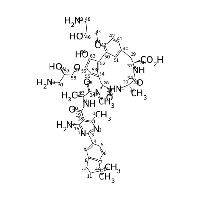 Cc1nc(-c2ccc3c(c2)CCC3(C)C)nc(N)c1C(=O)N[C@@H](C)C(=O)N(C)[C@@H]1C(=O)N[C@@H](C)C(=O)N[C@H](C(=O)O)Cc2ccc(OC[C@H](O)CN)c(c2)-c2cc1cc(OC[C@H](O)CN)c2O